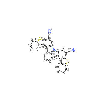 N#Cc1cc2c(c3cccc4c5c6c(sc7ccccc76)c(C#N)cc5n2c34)c2c1sc1ccccc12